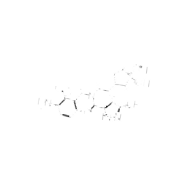 Nc1cccc(CN(CCC2CCS(O)(O)C2)C(=O)c2cc(C(F)(F)F)n[nH]2)c1Cl